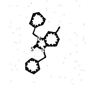 Cc1ccc2c(c1)n(Cc1ccccc1)c(=S)n2Cc1ccccc1